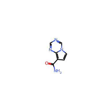 NC(=O)c1ccn2cncnc12